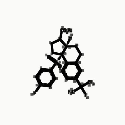 CCOC(=O)C1CC[C@]2(S(=O)(=O)c3ccc(F)cc3)c3ccc(C(F)(C(F)(F)F)C(F)(F)F)cc3CC[C@H]12